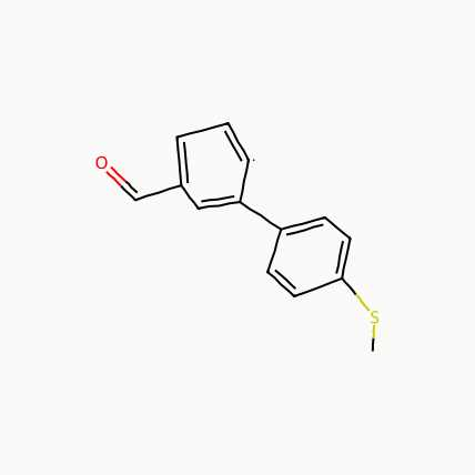 CSc1ccc(-c2[c]ccc(C=O)c2)cc1